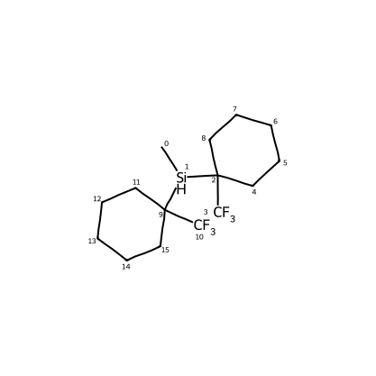 C[SiH](C1(C(F)(F)F)CCCCC1)C1(C(F)(F)F)CCCCC1